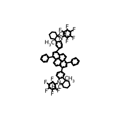 CC12CCCCC1(C)N(c1c(F)c(F)c(F)c(F)c1F)c1ccc(-c3cc(-c4ccccc4)c4ccc5c(-c6ccc7c(c6)C6(C)CCCCC6(C)N7c6c(F)c(F)c(F)c(F)c6F)cc(-c6ccccc6)c6ccc3c4c65)cc12